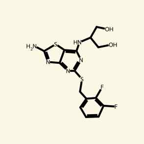 Nc1nc2nc(SCc3cccc(F)c3F)nc(NC(CO)CO)c2s1